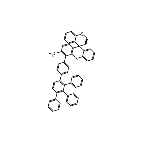 Cc1ccc2c(c1-c1ccc(-c3ccc(-c4ccccc4)c(-c4ccccc4)c3-c3ccccc3)cc1)Sc1ccccc1C21c2ccccc2Sc2ccccc21